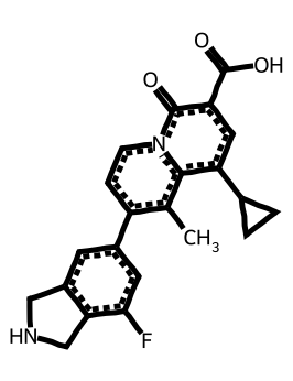 Cc1c(-c2cc(F)c3c(c2)CNC3)ccn2c(=O)c(C(=O)O)cc(C3CC3)c12